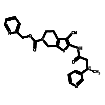 C[C@@H](CC(=O)Nc1sc2c(c1C#N)CCN(C(=O)OCc1ccccn1)C2)c1cccnc1